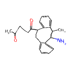 CC(=O)CCC(=O)C1Cc2ccccc2C(N)C(C)c2ccccc21